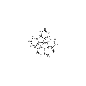 Fc1cccc2c1-c1c(F)cccc1S21c2ccccc2-c2ccccc21